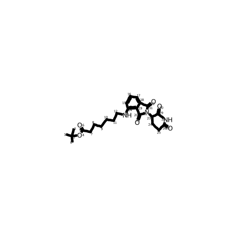 CC(C)(C)OC(=O)CCCCCCNc1cccc2c1C(=O)N(C1CCC(=O)NC1=O)C2=O